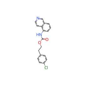 O=C(Nc1cccc2cnccc12)OCCc1ccc(Cl)cc1